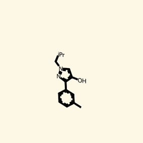 Cc1cccc(-c2nn(CC(C)C)cc2O)c1